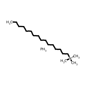 CCCCCCCCCCCCCCCC[N+](C)(C)C.P